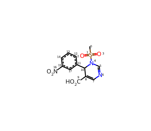 CS(=O)(=O)N1C=NC=C(C(=O)O)C1c1cccc([N+](=O)[O-])c1